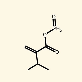 C=C(C(=O)O[PH2]=O)C(C)C